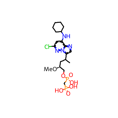 CO[C@H](COP(=O)(O)CP(=O)(O)O)CC(C)c1cnc2c(NC3CCCCC3)cc(Cl)nn12